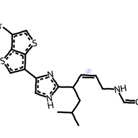 CC(C)CC(/C=C\CNC=O)c1nc(-c2csc3c(Br)csc23)c[nH]1